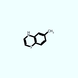 Cc1ccc2c(c1)NC=CS2